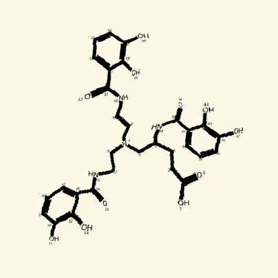 O=C(O)CCC(CN(CCNC(=O)c1cccc(O)c1O)CCNC(=O)c1cccc(O)c1O)NC(=O)c1cccc(O)c1O